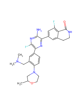 CC1CN(c2ccc(-c3nc(-c4cc(F)c5c(c4)CCNC5=O)c(N)nc3F)cc2CN(C)C)CCO1